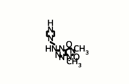 Cn1c(=O)c2nc(NCCN3CCNCC3)nnc2n(C)c1=O